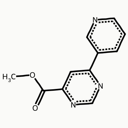 COC(=O)c1cc(-c2cccnc2)ncn1